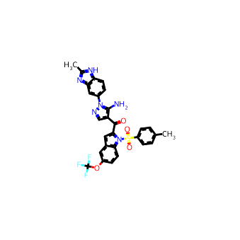 Cc1ccc(S(=O)(=O)n2c(C(=O)c3cnn(-c4ccc5[nH]c(C)nc5c4)c3N)cc3cc(OC(F)(F)F)ccc32)cc1